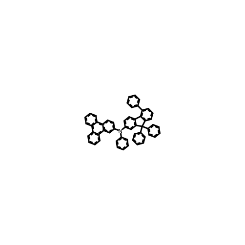 c1ccc(-c2cccc3c2-c2ccc(N(c4ccccc4)c4ccc5c6ccccc6c6ccccc6c5c4)cc2C3(c2ccccc2)c2ccccc2)cc1